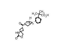 CC(C)(C(=O)O)c1cccc([C@@H]2C3CN(C(=O)[C@H]4C[C@]5(COC(=O)N5)C4)C[C@H]32)c1